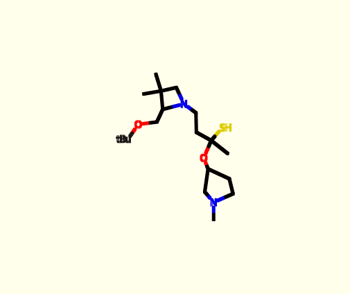 CN1CCC(OC(C)(S)CCN2CC(C)(C)C2COC(C)(C)C)C1